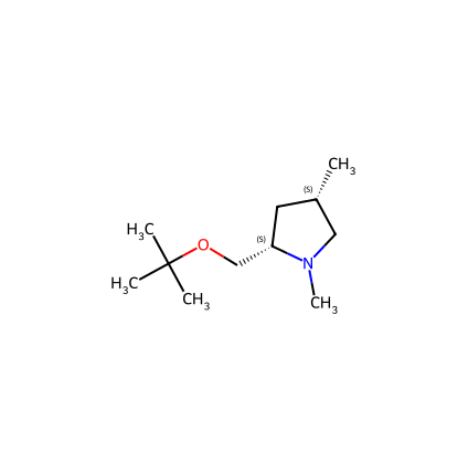 C[C@H]1C[C@@H](COC(C)(C)C)N(C)C1